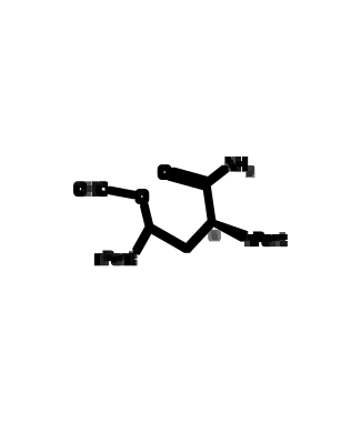 CCCCCC(C[C@H](CCCCC)C(N)=O)OC=O